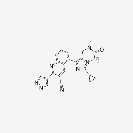 C[C@H]1C(=O)N(C)Cc2c(-c3cccc4nc(-c5cnn(C)c5)c(C#N)cc34)nc(C3CC3)n21